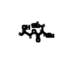 CC(O)COC(=O)C(CC(C)(C)C)C(C)(C)C